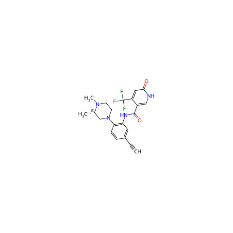 C#Cc1ccc(N2CCN(C)[C@@H](C)C2)c(NC(=O)c2c[nH]c(=O)cc2C(F)(F)F)c1